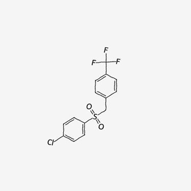 O=S(=O)(Cc1ccc(C(F)(F)F)cc1)c1ccc(Cl)cc1